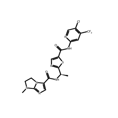 C[C@@H](NC(=O)c1cnc2n1CCN2C)c1ncc(C(=O)Nc2cc(C(F)(F)F)c(Cl)cn2)s1